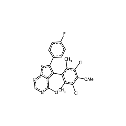 COc1c(Cl)c(C)c(-c2c(-c3ccc(F)cc3)sc3ncnc(Cl)c23)c(C)c1Cl